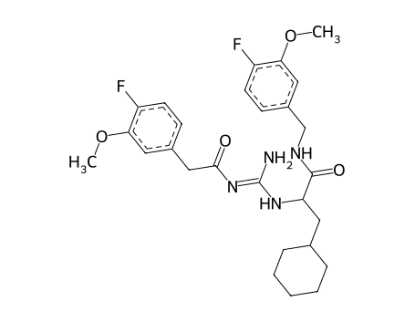 COc1cc(CNC(=O)C(CC2CCCCC2)NC(N)=NC(=O)Cc2ccc(F)c(OC)c2)ccc1F